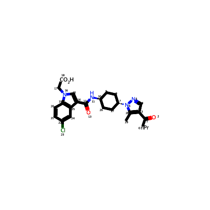 CCCC(=O)c1cnn([C@H]2CC[C@H](NC(=O)c3cn(CC(=O)O)c4ccc(Cl)cc34)CC2)c1C